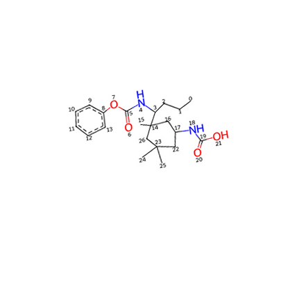 CCCC(NC(=O)Oc1ccccc1)C1(C)CC(NC(=O)O)CC(C)(C)C1